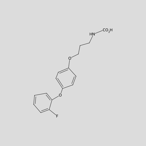 O=C(O)NCCCOc1ccc(Oc2ccccc2F)cc1